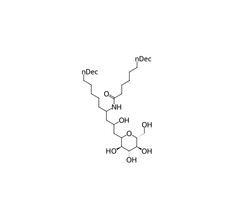 CCCCCCCCCCCCCCCC(=O)NC(CCCCCCCCCCCCCCC)CC(O)CC1O[C@H](CO)[C@@H](O)[C@H](O)[C@H]1O